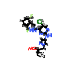 CC(O)Cn1cc(Nc2ncc(Cl)c(NCc3c(F)cccc3F)n2)cn1